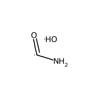 N[C]=O.[OH]